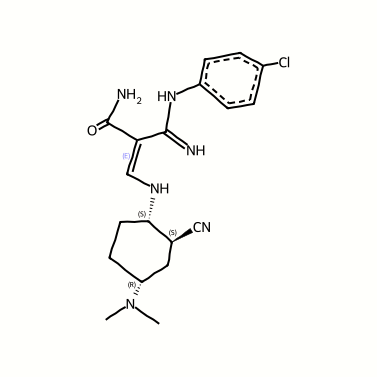 CN(C)[C@@H]1CC[C@H](N/C=C(\C(=N)Nc2ccc(Cl)cc2)C(N)=O)[C@@H](C#N)C1